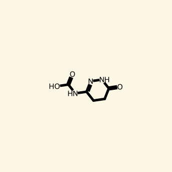 O=C(O)NC1=NNC(=O)CC1